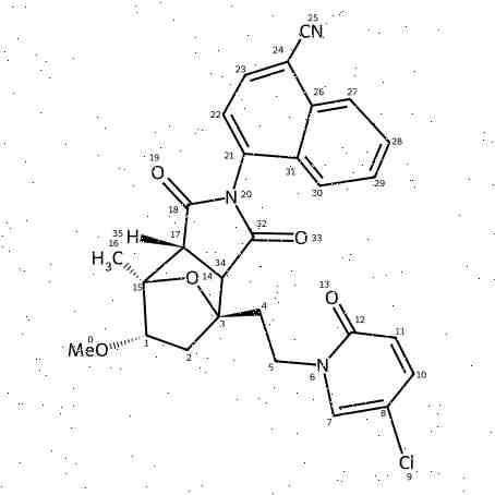 CO[C@H]1C[C@]2(CCn3cc(Cl)ccc3=O)O[C@]1(C)[C@@H]1C(=O)N(c3ccc(C#N)c4ccccc34)C(=O)C12